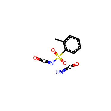 Cc1ccccc1S(=O)(=O)N=C=O.N=C=O